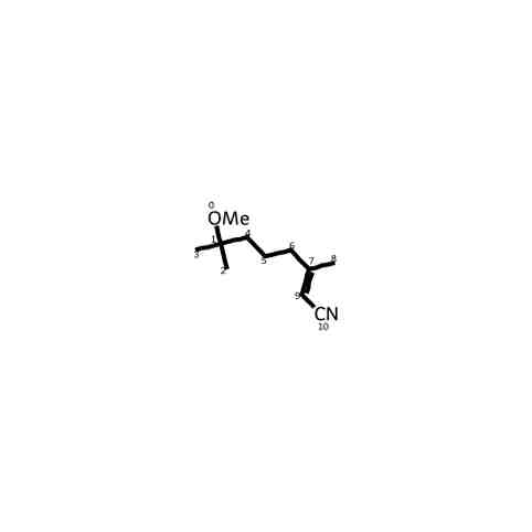 COC(C)(C)CCCC(C)=CC#N